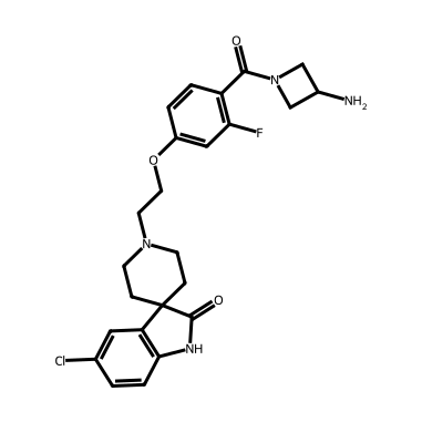 NC1CN(C(=O)c2ccc(OCCN3CCC4(CC3)C(=O)Nc3ccc(Cl)cc34)cc2F)C1